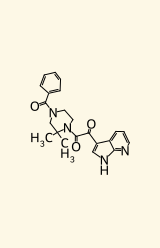 CC1(C)CN(C(=O)c2ccccc2)CCN1C(=O)C(=O)c1c[nH]c2ncccc12